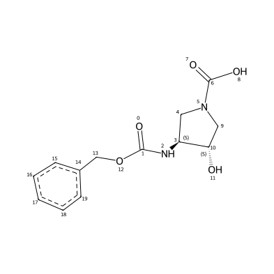 O=C(N[C@H]1CN(C(=O)O)C[C@@H]1O)OCc1ccccc1